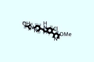 COc1cncc(-c2cc3cc(-c4ccc(N5CC(CO)C5)nc4)[nH]c3cc2Cl)c1